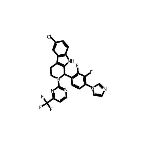 Fc1c(C2c3[nH]c4ccc(Cl)cc4c3CCN2c2nccc(C(F)(F)F)n2)ccc(-n2ccnc2)c1F